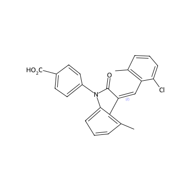 Cc1cccc(Cl)c1/C=C1\C(=O)N(c2ccc(C(=O)O)cc2)c2cccc(C)c21